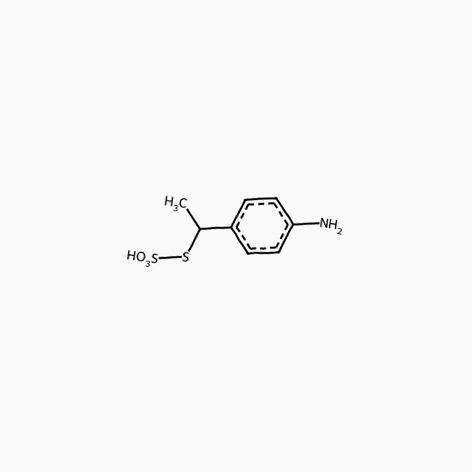 CC(SS(=O)(=O)O)c1ccc(N)cc1